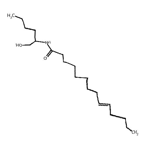 CCCCC=CCCCCCCCC(=O)NC(CO)CCCC